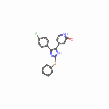 O=c1cc(-c2[nH]c(Sc3ccccc3)nc2-c2ccc(F)cc2)cc[nH]1